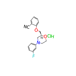 Cl.N#Cc1ccccc1OC[C@@H]1CN(c2cccc(F)c2)CCO1